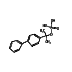 CC(C)(OP(=O)(O)O)c1ccc(-c2ccccc2)cc1